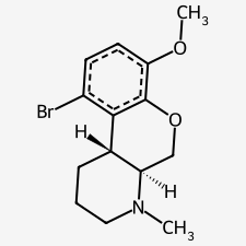 COc1ccc(Br)c2c1OC[C@@H]1[C@@H]2CCCN1C